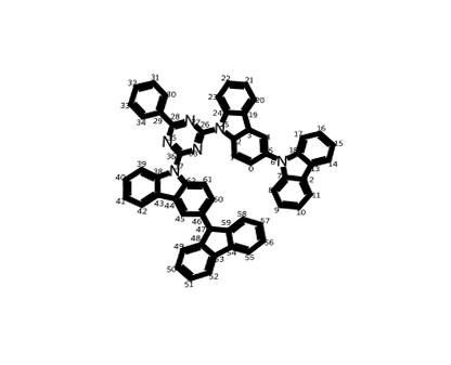 C1=CC2C(C=C1n1c3ccccc3c3ccccc31)c1ccccc1N2c1nc(-c2ccccc2)nc(-n2c3ccccc3c3cc(C4c5ccccc5-c5ccccc54)ccc32)n1